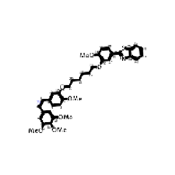 COc1ccc(/C=C\c2cc(OC)c(OC)c(OC)c2)cc1OCCCCCCOc1cc(-c2nc3ccccc3s2)ccc1OC